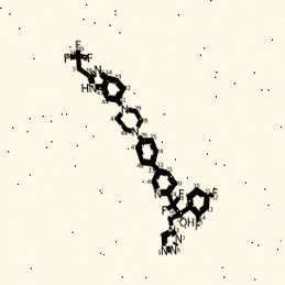 OC(Cn1cnnn1)(c1ccc(F)cc1F)C(F)(F)c1ccc(-c2ccc(N3CCN(c4ccc5nc(CC(F)(F)F)[nH]c5c4)CC3)cc2)cn1